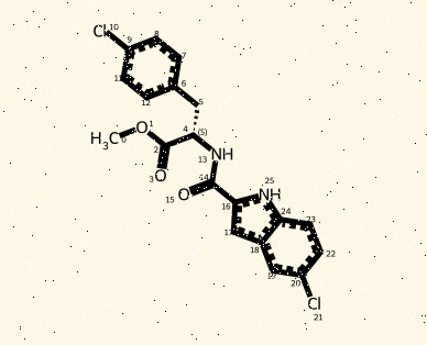 COC(=O)[C@H](Cc1ccc(Cl)cc1)NC(=O)c1cc2cc(Cl)ccc2[nH]1